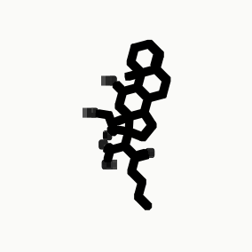 CCCCC(=O)C(C(=O)O)C1(C(=O)CO)CCC2C3CCC4=CCCCC4(C)C3C(O)CC21C